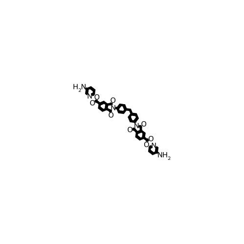 Nc1ccc(OC(=O)c2ccc3c(c2)C(=O)N(c2ccc(Cc4ccc(N5C(=O)c6ccc(C(=O)Oc7ccc(N)cn7)cc6C5=O)cc4)cc2)C3=O)nc1